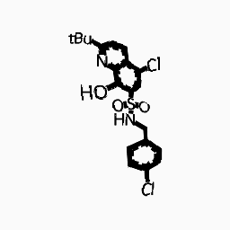 CC(C)(C)c1ccc2c(Cl)cc(S(=O)(=O)NCc3ccc(Cl)cc3)c(O)c2n1